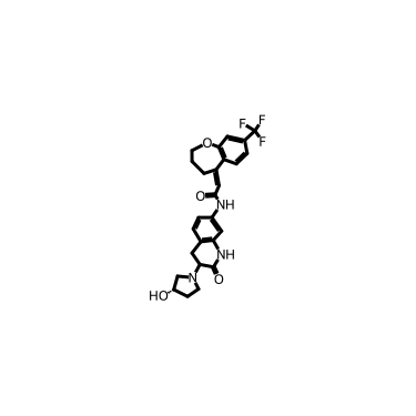 O=C(/C=C1\CCCOc2cc(C(F)(F)F)ccc21)Nc1ccc2c(c1)NC(=O)C(N1CC[C@H](O)C1)C2